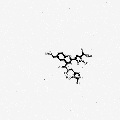 CCc1ncc(CN(C)C(=O)c2cc(-c3cc(C(=O)NC)n(C)n3)nc3ccc(COC)cc23)n1C